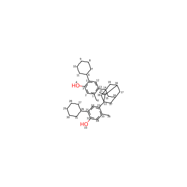 Cc1cc(O)c(C2CCCCC2)cc1C12CC3CC(C1)C(C)C(c1cc(C4CCCCC4)c(O)cc1C)(C3)C2